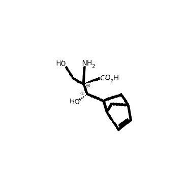 N[C@](CO)(C(=O)O)[C@@H](O)C1CC2C=CC1C2